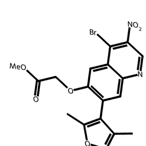 COC(=O)COc1cc2c(Br)c([N+](=O)[O-])cnc2cc1-c1c(C)noc1C